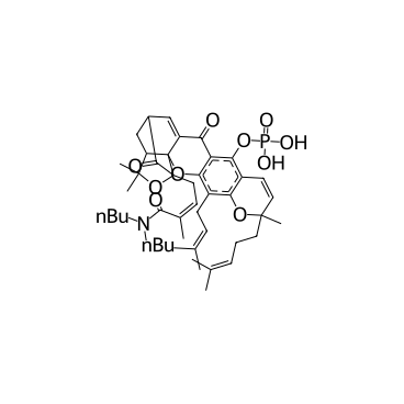 CCCCN(CCCC)C(=O)/C(C)=C\CC12OC(C)(C)C3CC(C=C4C(=O)c5c(OP(=O)(O)O)c6c(c(CC=C(C)C)c5OC431)OC(C)(CCC=C(C)C)C=C6)C2=O